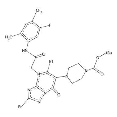 CCc1c(N2CCN(C(=O)OC(C)(C)C)CC2)c(=O)n2nc(Br)nc2n1CC(=O)Nc1cc(F)c(C(F)(F)F)cc1C